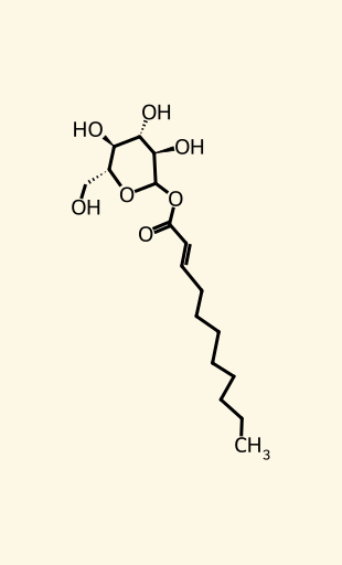 CCCCCCCCC=CC(=O)OC1O[C@H](CO)[C@@H](O)[C@H](O)[C@H]1O